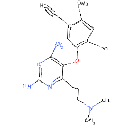 C#Cc1cc(Oc2c(N)nc(N)nc2CCN(C)C)c(C(C)C)cc1OC